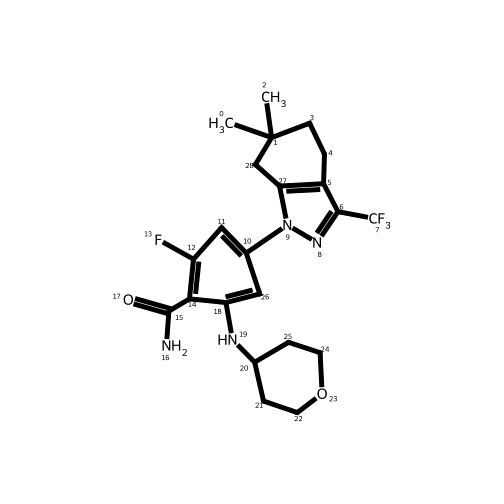 CC1(C)CCc2c(C(F)(F)F)nn(-c3cc(F)c(C(N)=O)c(NC4CCOCC4)c3)c2C1